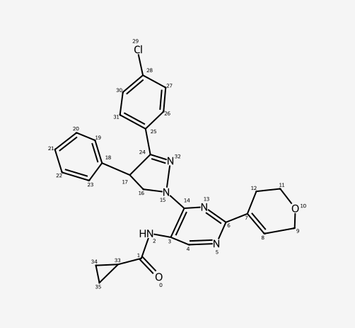 O=C(Nc1cnc(C2=CCOCC2)nc1N1CC(c2ccccc2)C(c2ccc(Cl)cc2)=N1)C1CC1